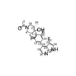 CC(=O)N1C[C@@H](C)C(O)(c2c(F)cc(-c3ccnc4[nH]cc(F)c34)cc2F)[C@@H](C)C1